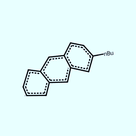 CCCCc1ccc2cc3cc[c]cc3cc2c1